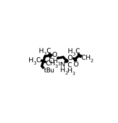 C=C(C)C(=O)OC(C)(N)CCOC(C)(C)CC(C)(C)CC(C)(C)C